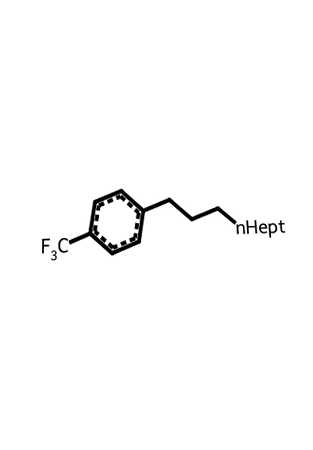 CCCCCCCCCCc1ccc(C(F)(F)F)cc1